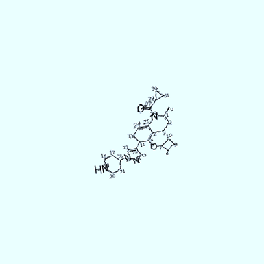 C[C@H]1CCC2=C(OC3CCC3)C(c3cnn(C4CCNCC4)c3)CC=C2N1C(=O)C1CC1